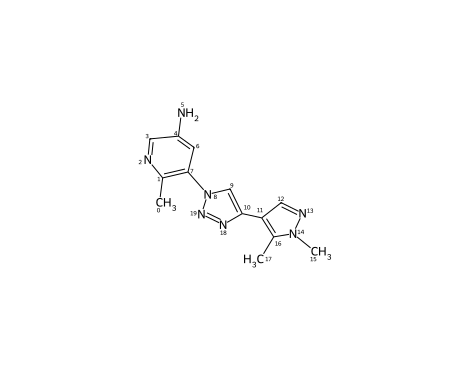 Cc1ncc(N)cc1-n1cc(-c2cnn(C)c2C)nn1